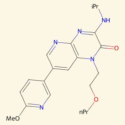 CCCOCCn1c(=O)c(NC(C)C)nc2ncc(-c3ccc(OC)nc3)cc21